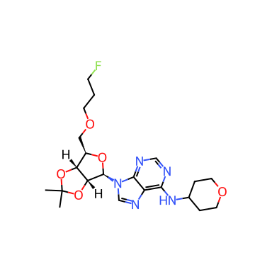 CC1(C)O[C@@H]2[C@H](O1)[C@@H](COCCCF)O[C@H]2n1cnc2c(NC3CCOCC3)ncnc21